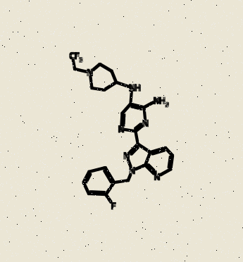 Nc1nc(-c2nn(Cc3ccccc3F)c3ncccc23)ncc1NC1CCN(CC(F)(F)F)CC1